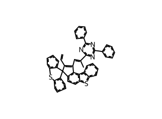 C=CC1=C(/C=C(\C)c2nc(-c3ccccc3)nc(-c3ccccc3)n2)c2c(ccc3sc4ccccc4c23)C12c1ccccc1Sc1ccccc12